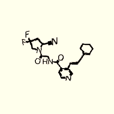 N#CC1CC(F)(F)CN1C(=O)CNC(=O)c1ccncc1C=CC1CCCCC1